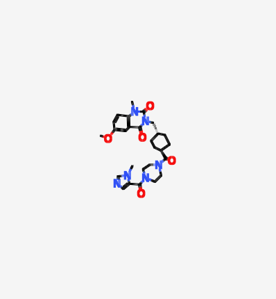 COc1ccc2c(c1)c(=O)n(C[C@H]1CC[C@H](C(=O)N3CCN(C(=O)c4cncn4C)CC3)CC1)c(=O)n2C